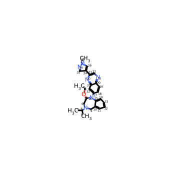 CCOC1CN(C(C)C)Cc2ccccc2N1c1ccc2ncc(-c3cnn(C)c3)nc2c1